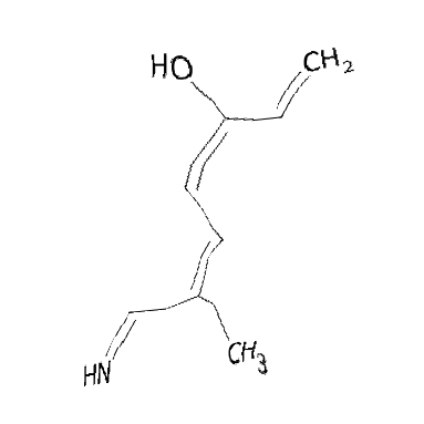 C=C/C(O)=C\C=C(\C)C=N